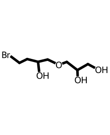 OCC(O)COCC(O)CCBr